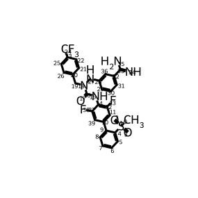 CS(=O)(=O)c1ccccc1-c1cc(F)c(NC(=O)N(Cc2ccc(C(F)(F)F)cc2)Nc2cccc(C(=N)N)c2)c(F)c1